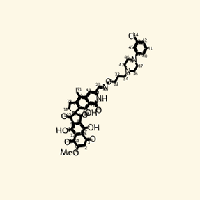 COC1=CC(=O)c2c(O)c3c(c(O)c2C1=O)C(=O)[C@]1(CCc2c1c(O)c1c(=O)[nH]c(C=NOCCCN4CCN(c5cccc(Cl)c5)CC4)cc1c2I)C3=O